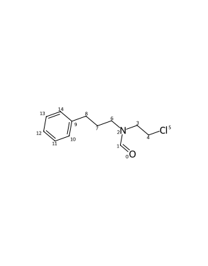 O=CN(CCCl)CCCc1ccccc1